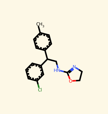 Cc1ccc(C(CNC2=NCCO2)c2cccc(Cl)c2)cc1